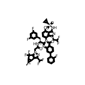 C[C@@H]1C2c3c(C(F)F)nn(CC(=O)N[C@@H](Cc4cc(F)cc(F)c4)c4nc5cc(-c6ccccc6F)ccc5c(=O)n4-c4ccc(Cl)c5c(NS(=O)(=O)C6CC6)nn(CC(F)F)c45)c3C(F)(F)C21